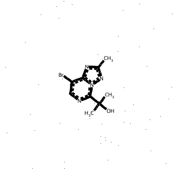 Cc1nc2c(Br)cnc(C(C)(C)O)n2n1